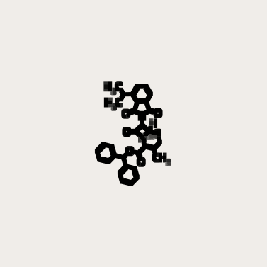 CC1=C(C(=O)OC(c2ccccc2)c2ccccc2)N2C(=O)C(N3C(=O)c4cccc(C(C)C)c4C3=O)[C@@H]2SC1